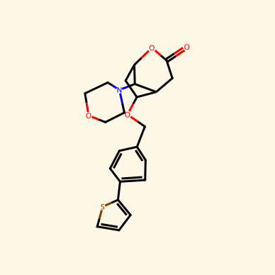 O=C1CC2C(OCc3ccc(-c4cccs4)cc3)CC(O1)C2N1CCOCC1